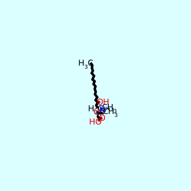 CCCCCCCCCCCCCCCC(O)CCO[C@H](CC(=O)O)C[N+](C)(C)C